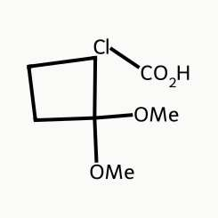 COC1(OC)CCC1.O=C(O)Cl